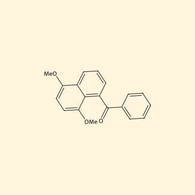 COc1ccc(OC)c2c(C(=O)c3ccccc3)cccc12